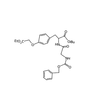 CCOC(=O)COc1ccc(CC(NC(=O)CNC(=O)OCc2ccccc2)C(=O)OCC(C)C)cc1